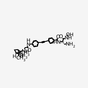 C[C@@H]1C(NCC(=O)Nc2ccc(C#Cc3ccc(C(=O)N[C@@H](CN)C(=O)NO)cc3)cc2)C2C[C@@H]1C2(C)C